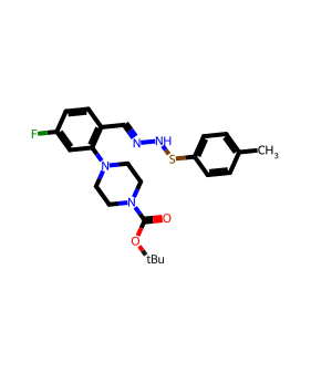 Cc1ccc(SN/N=C/c2ccc(F)cc2N2CCN(C(=O)OC(C)(C)C)CC2)cc1